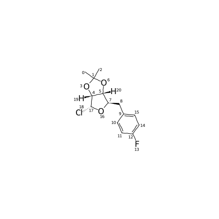 CC1(C)O[C@@H]2[C@H](O1)[C@@H](Cc1ccc(F)cc1)O[C@@H]2Cl